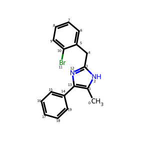 Cc1[nH]c(Cc2ccccc2Br)nc1-c1ccccc1